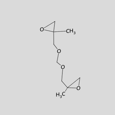 CC1(COCOCC2(C)CO2)CO1